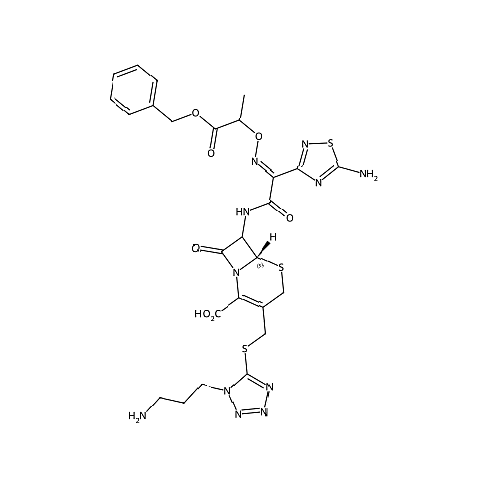 CC(ON=C(C(=O)NC1C(=O)N2C(C(=O)O)=C(CSc3nnnn3CCCN)CS[C@@H]12)c1nsc(N)n1)C(=O)OCc1ccccc1